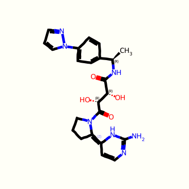 C[C@@H](NC(=O)[C@H](O)[C@@H](O)C(=O)N1CCC/C1=C1\C=CN=C(N)N1)c1ccc(-n2cccn2)cc1